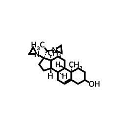 CC(N1CC1)[C@@]1(N2CC2)CC[C@H]2[C@@H]3CC=C4CC(O)CC[C@]4(C)[C@H]3CC[C@@]21C